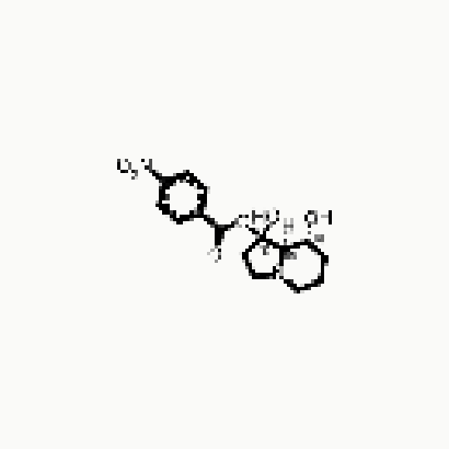 O=C(O[C@@]1(O)CCN2CCC[C@@H](O)[C@@H]21)c1ccc([N+](=O)[O-])cc1